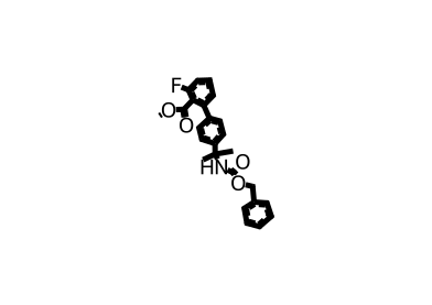 COC(=O)c1c(F)cccc1-c1ccc(C(C)(C)NC(=O)OCc2ccccc2)cc1